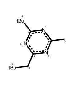 Cc1nc(CC(C)(C)C)nc(C(C)(C)C)n1